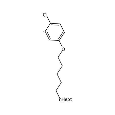 CCCCCCCCCCCCOc1c[c]c(Cl)cc1